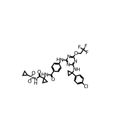 O=C(NC1(C(=O)NS(=O)(=O)C2CC2)CC1)c1ccc(Nc2nc(NC3(c4ccc(Cl)cc4)CC3)nc(OCC(F)(F)F)n2)cc1